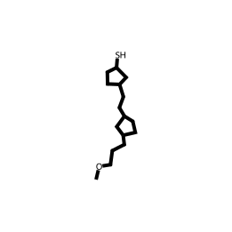 COCCCC1CCC(CCC2CCC(S)C2)C1